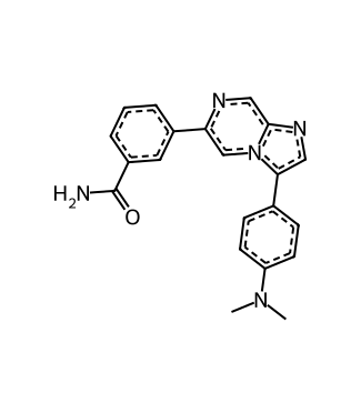 CN(C)c1ccc(-c2cnc3cnc(-c4cccc(C(N)=O)c4)cn23)cc1